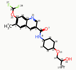 Cc1cc2cc(C(=O)NC3CCC(OCC(O)C(C)C)CC3)cnc2cc1OC(F)F